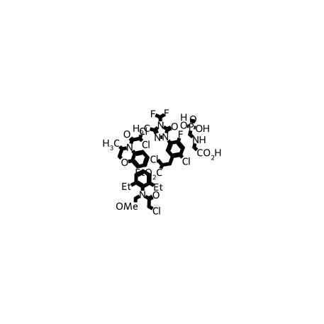 CC1COc2ccccc2N1C(=O)C(Cl)Cl.CCOC(=O)C(Cl)Cc1cc(-n2nc(C)n(C(F)F)c2=O)c(F)cc1Cl.CCc1cccc(CC)c1N(COC)C(=O)CCl.O=C(O)CNCP(=O)(O)O